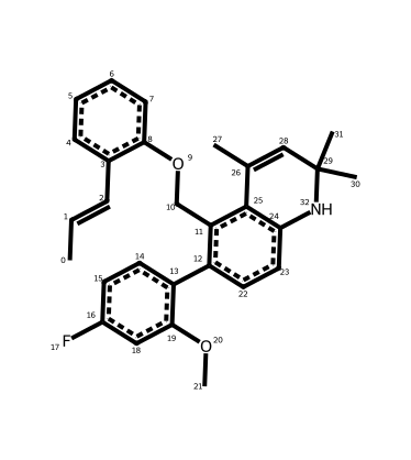 CC=Cc1ccccc1OCc1c(-c2ccc(F)cc2OC)ccc2c1C(C)=CC(C)(C)N2